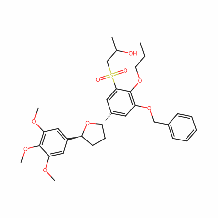 CCCOc1c(OCc2ccccc2)cc([C@@H]2CC[C@@H](c3cc(OC)c(OC)c(OC)c3)O2)cc1S(=O)(=O)CC(C)O